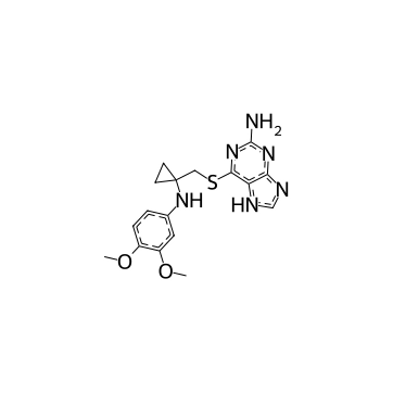 COc1ccc(NC2(CSc3nc(N)nc4nc[nH]c34)CC2)cc1OC